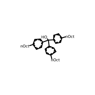 CCCCCCCCc1ccc(C(O)(c2ccc(CCCCCCCC)cc2)c2ccc(CCCCCCCC)cc2)cc1